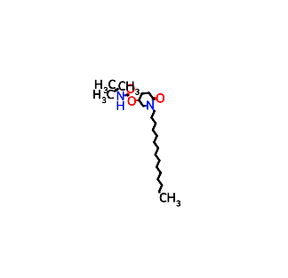 CCCCCCCCCCCCCCCN1C[C@@H](OC(=O)NC(C)(C)C)CCC1=O